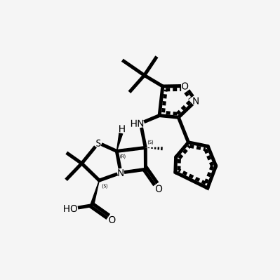 CC(C)(C)c1onc(-c2ccccc2)c1N[C@@]1(C)C(=O)N2[C@@H](C(=O)O)C(C)(C)S[C@@H]21